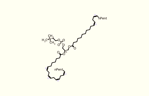 CCCCC/C=C\C/C=C\C/C=C\C/C=C\CCCCCC(=O)O[C@H](COC(=O)CCCCCCCCC/C=C\C/C=C\CCCCC)COP(=O)([O-])OCC[N+](C)(C)C